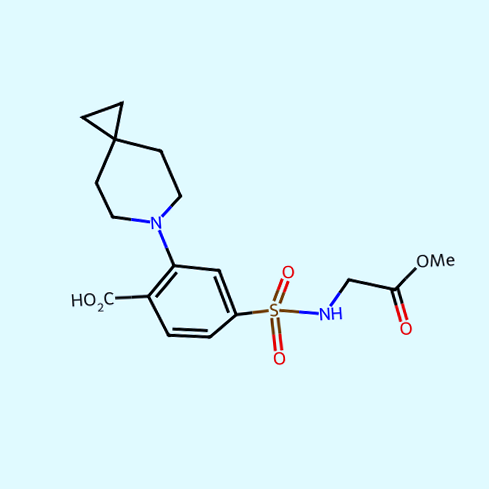 COC(=O)CNS(=O)(=O)c1ccc(C(=O)O)c(N2CCC3(CC2)CC3)c1